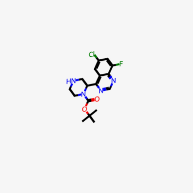 CC(C)(C)OC(=O)N1CCNCC1c1ncnc2c(F)cc(Cl)cc12